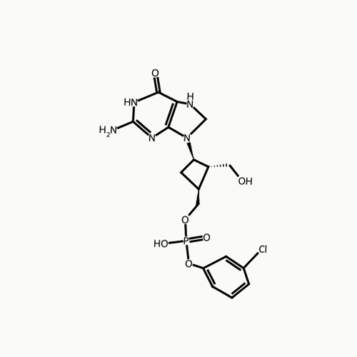 Nc1nc2c(c(=O)[nH]1)NCN2[C@@H]1C[C@H](COP(=O)(O)Oc2cccc(Cl)c2)[C@H]1CO